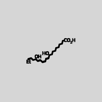 CC/C=C\C[C@H](O)/C=C/C=C\C=C\[C@@H](O)CCCCCCCCC(=O)O